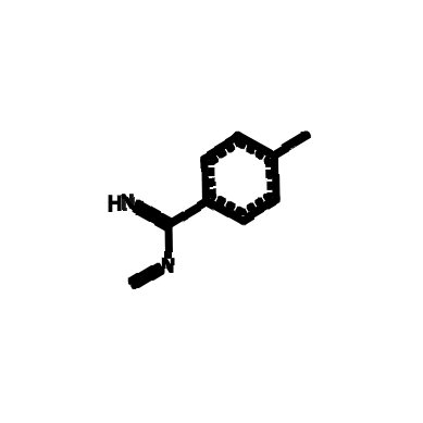 C=NC(=N)c1ccc(C)cc1